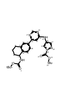 CC(C)(C)OC(=O)NC1CCCc2cc(-c3cc(Nc4cnn(C(=O)OC(C)(C)C)c4)ncn3)ccc21